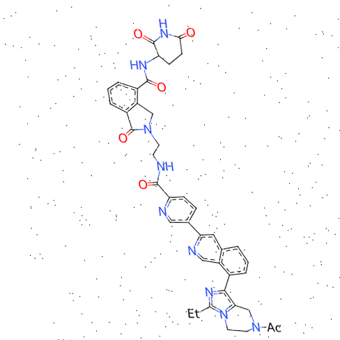 CCc1nc(-c2cccc3cc(-c4ccc(C(=O)NCCN5Cc6c(C(=O)NC7CCC(=O)NC7=O)cccc6C5=O)nc4)ncc23)c2n1CCN(C(C)=O)C2